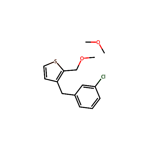 COC.COCc1sccc1Cc1cccc(Cl)c1